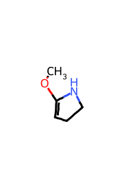 COC1=CCCN1